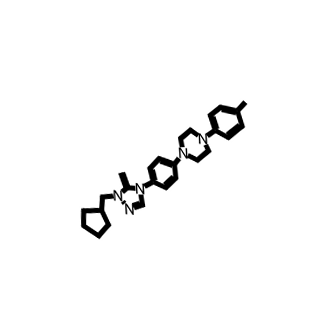 C=C1N(CC2CCCC2)N=CN1c1ccc(N2CCN(c3ccc(C)cc3)CC2)cc1